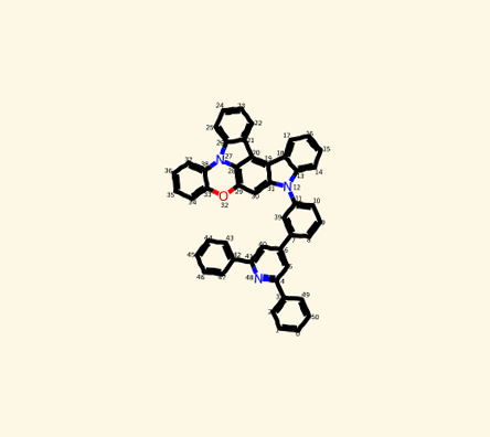 c1ccc(-c2cc(-c3cccc(-n4c5ccccc5c5c6c7ccccc7n7c6c(cc54)Oc4ccccc4-7)c3)cc(-c3ccccc3)n2)cc1